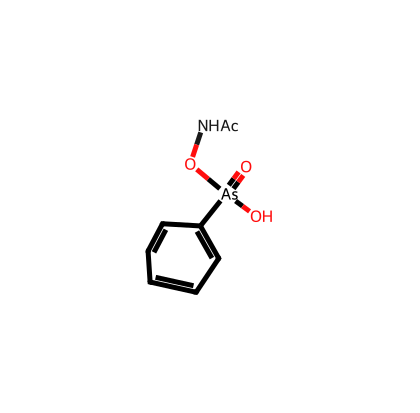 CC(=O)NO[As](=O)(O)c1ccccc1